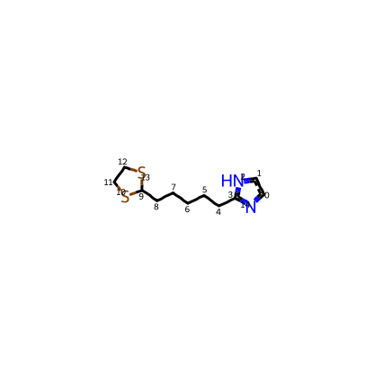 c1c[nH]c(CCCCCC2SCCS2)n1